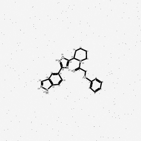 O=C(COc1ccccc1)N1CCCCC1c1nc(-c2ccc3[nH]ncc3c2)no1